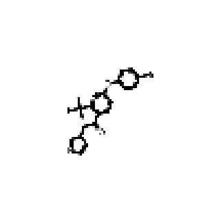 CC(C)(F)c1nc(Oc2ccc(Br)cc2)ccc1C(=O)CC1C=CN=C1